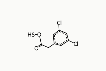 O=C(Cc1cc(Cl)cc(Cl)c1)OS